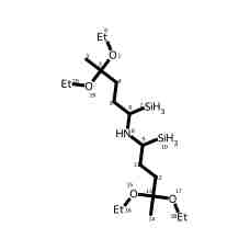 CCOC(C)(CCC([SiH3])NC([SiH3])CCC(C)(OCC)OCC)OCC